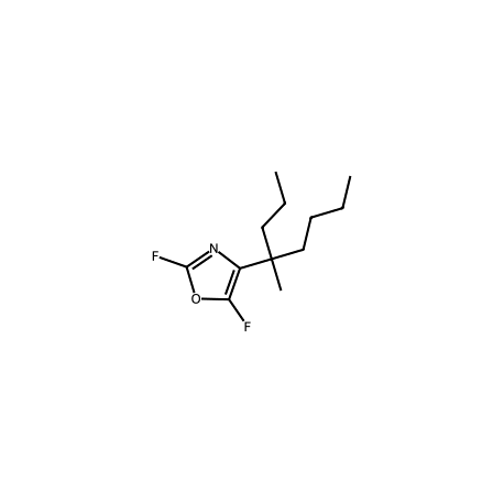 CCCCC(C)(CCC)c1nc(F)oc1F